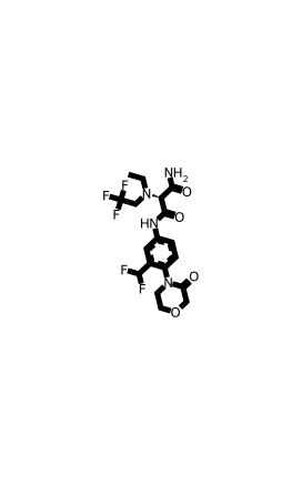 CCN(CC(F)(F)F)[C@H](C(N)=O)C(=O)Nc1ccc(N2CCOCC2=O)c(C(F)F)c1